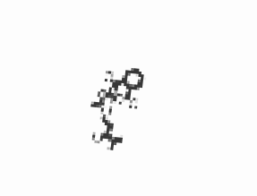 C=C(C)C(=O)CCOC(C)OOC(=O)C1CCCCC1C(=O)O